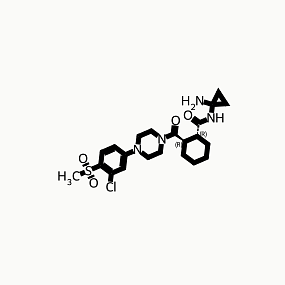 CS(=O)(=O)c1ccc(N2CCN(C(=O)[C@@H]3CCCC[C@H]3C(=O)NC3(N)CC3)CC2)cc1Cl